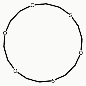 C1COCCSCCOCCSCCOCCO1